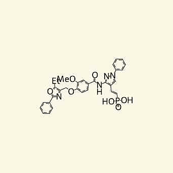 CCc1oc(-c2ccccc2)nc1COc1ccc(C(=O)Nc2nn(-c3ccccc3)cc2C=CP(=O)(O)O)cc1OC